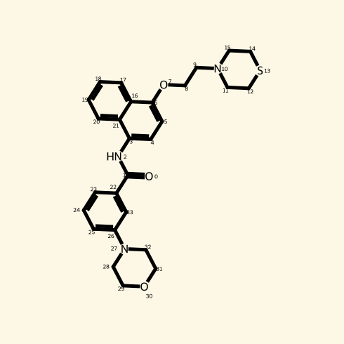 O=C(Nc1ccc(OCCN2CCSCC2)c2ccccc12)c1cccc(N2CCOCC2)c1